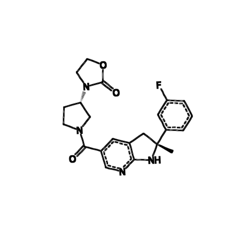 C[C@]1(c2cccc(F)c2)Cc2cc(C(=O)N3CC[C@H](N4CCOC4=O)C3)cnc2N1